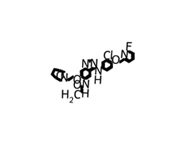 C=CC(=O)Nc1cc2c(Nc3ccc(OCc4cccc(F)n4)c(Cl)c3)ncnc2cc1OCCN1CC2CCC(C1)O2